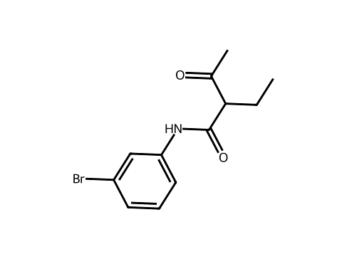 CCC(C(C)=O)C(=O)Nc1cccc(Br)c1